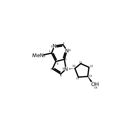 CNc1ncnc2c1ccn2[C@@H]1CC[C@@H](O)C1